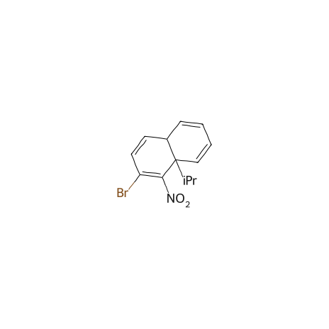 CC(C)C12C=CC=CC1C=CC(Br)=C2[N+](=O)[O-]